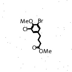 COC(=O)CCCc1cc(Cl)c(OC)c(Br)c1